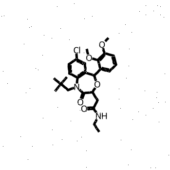 CCNC(=O)CC1OC(c2cccc(OC)c2OC)c2cc(Cl)ccc2N(CC(C)(C)C)C1=O